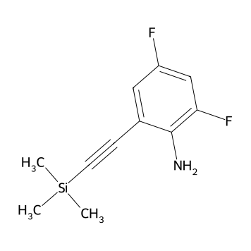 C[Si](C)(C)C#Cc1cc(F)cc(F)c1N